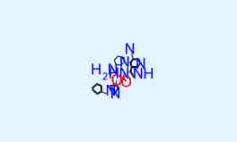 N#Cc1cnc2[nH]cc(NC(=O)Oc3cnn(Cc4ccccc4)c3)c2c1N1CCC[C@@H](N)C1